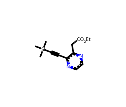 CCOC(=O)Cc1nccnc1C#C[Si](C)(C)C